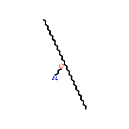 CCCCCC=CCC=CCCCCCCCCC(CCCCCCCCC=CCC=CCCCCC)OCCCCN(C)C